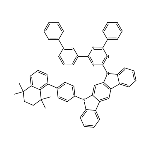 CC1(C)CCC(C)(C)c2c(-c3ccc(-n4c5ccccc5c5cc6c7ccccc7n(-c7nc(-c8ccccc8)nc(-c8cccc(-c9ccccc9)c8)n7)c6cc54)cc3)cccc21